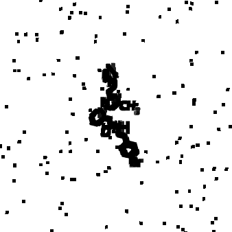 Cc1cc(N2CCCCC2CC(=O)NCCc2ccc(Br)cc2)nc(CCn2ccnc2)n1